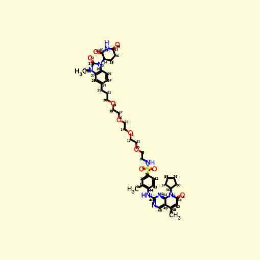 Cc1cc(S(=O)(=O)NCCOCCOCCOCCOCCCc2ccc3c(c2)n(C)c(=O)n3C2CCC(=O)NC2=O)ccc1Nc1ncc2c(C)cc(=O)n(C3CCCC3)c2n1